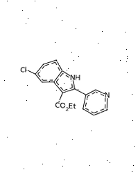 CCOC(=O)c1c(-c2cccnc2)[nH]c2ccc(Cl)cc12